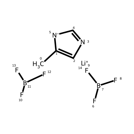 Cc1cnc[n-]1.FB(F)F.FB(F)F.[Li+]